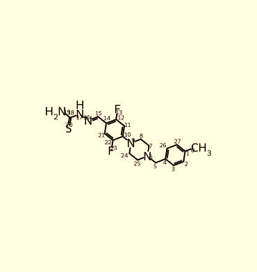 Cc1ccc(CN2CCN(c3cc(F)c(C=NNC(N)=S)cc3F)CC2)cc1